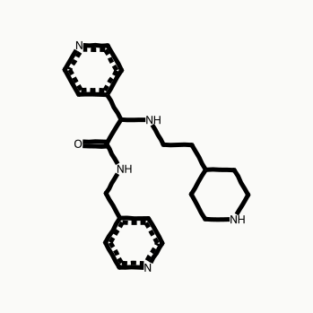 O=C(NCc1ccncc1)C(NCCC1CCNCC1)c1ccncc1